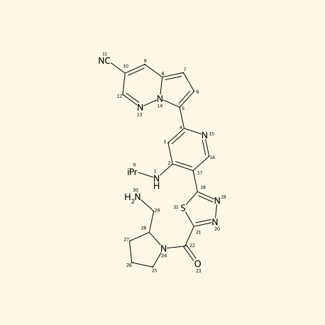 CC(C)Nc1cc(-c2ccc3cc(C#N)cnn23)ncc1-c1nnc(C(=O)N2CCCC2CN)s1